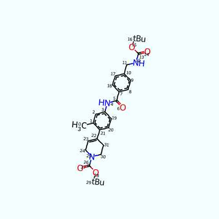 Cc1cc(NC(=O)c2ccc(CNC(=O)OC(C)(C)C)cc2)ccc1C1=CCN(C(=O)OC(C)(C)C)CC1